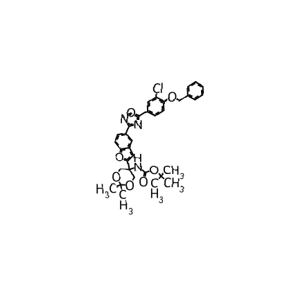 CC(C)(C)OC(=O)NC1(c2cc3cc(-c4noc(-c5ccc(OCc6ccccc6)c(Cl)c5)n4)ccc3o2)COC(C)(C)OC1